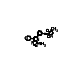 CN1CCC(O)(C#Cc2cccc(-c3cc(C4CCOCC4)c4ncnc(N)c4n3)c2)C1=O